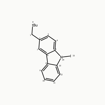 CC(C)(C)Cc1ccc2c(c1)c1ccccc1n2I